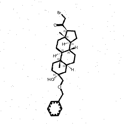 C[C@]12CC[C@](O)(COCc3ccccc3)C[C@@H]1CC[C@@H]1[C@@H]2CC[C@]2(C)[C@@H](C(=O)CBr)CC[C@@H]12